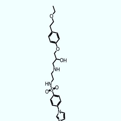 CCOCCc1ccc(OCC(O)CNCCNS(=O)(=O)c2ccc(-n3ccnc3)cc2)cc1